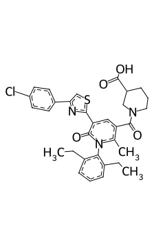 CCc1cccc(CC)c1-n1c(C)c(C(=O)N2CCCC(C(=O)O)C2)cc(-c2nc(-c3ccc(Cl)cc3)cs2)c1=O